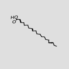 CCC=CCCCCCCCC=CCCCCC=CC(=O)O